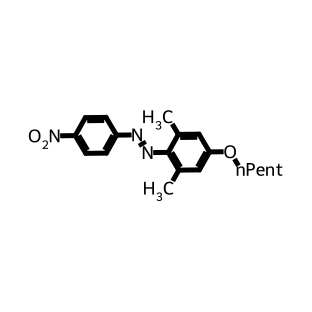 CCCCCOc1cc(C)c(N=Nc2ccc([N+](=O)[O-])cc2)c(C)c1